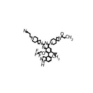 C=CC(=O)N1CC2(CCN(c3nc(N4CC5(CCN(CCC#N)CC5)C4)nc4c(OCC(F)(F)F)c(-c5c(C)ccc6[nH]ncc56)c(C5CC5)cc34)CC2)C1